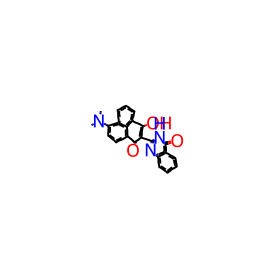 CN(C)c1ccc2c3c(cccc13)C(O)=C(c1nc3ccccc3c(=O)[nH]1)C2=O